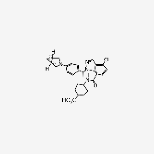 CC(c1ccc(N2C[C@H]3C[C@H]3C2)cc1)n1ncc2c(Cl)ccc(C(=O)NC3CCC(C(=O)O)CC3)c21